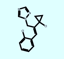 Clc1ccccc1C=C(Cn1cncn1)C1(Cl)CC1